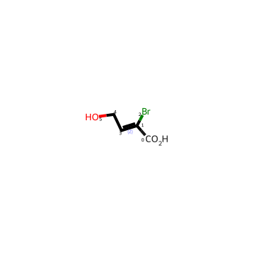 O=C(O)/C(Br)=C/CO